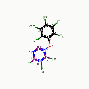 Fc1c(F)c(F)c(On2pnp(F)n(F)p2F)c(F)c1F